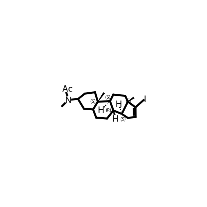 CC(=O)N(C)C1CC[C@@]2(C)C(CC[C@@H]3[C@@H]2CC[C@]2(C)C(I)=CC[C@@H]32)C1